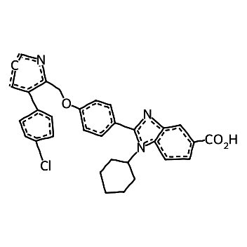 O=C(O)c1ccc2c(c1)nc(-c1ccc(OCc3ncccc3-c3ccc(Cl)cc3)cc1)n2C1CCCCC1